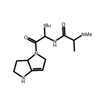 CNC(C)C(=O)NC(C(=O)N1CC=C2NCCC21)C(C)(C)C